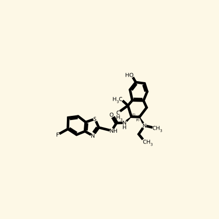 CCN(C)[C@@H]1Cc2ccc(O)cc2C(C)(C)[C@@H]1NC(=O)Nc1nc2cc(F)ccc2s1